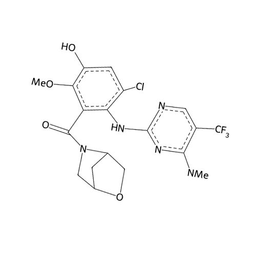 CNc1nc(Nc2c(Cl)cc(O)c(OC)c2C(=O)N2CC3CC2CO3)ncc1C(F)(F)F